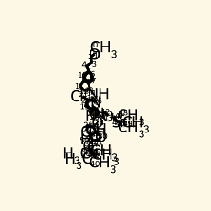 COCCCc1ccc2c(c1)CC[C@@H]2Nc1nc2c(cc1Cl)nc(O[C@@H]1CO[C@H]3[C@@H]1OC[C@H]3O[Si](C)(C)C(C)(C)C)n2COCC[Si](C)(C)C